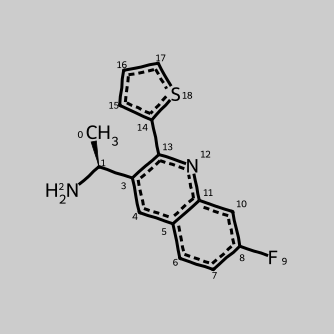 C[C@H](N)c1cc2ccc(F)cc2nc1-c1cccs1